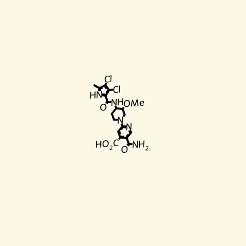 COC1CN(c2cc(C(=O)O)c(C(N)=O)cn2)CCC1NC(=O)c1[nH]c(C)c(Cl)c1Cl